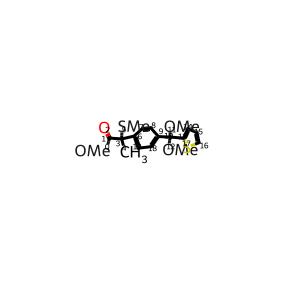 COC(=O)C(C)(SC)c1ccc(C(OC)(OC)c2cccs2)cc1